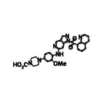 COc1cc(N2CCN(C(=O)O)CC2)ccc1Nc1cc2c(cn1)cnn2S(=O)(=O)c1cccc2cccnc12